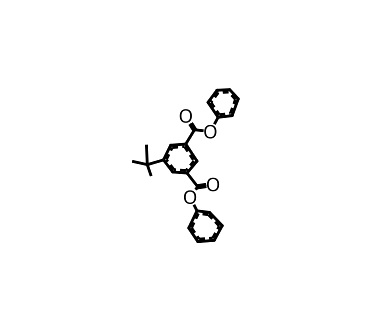 CC(C)(C)c1cc(C(=O)Oc2ccccc2)cc(C(=O)Oc2ccccc2)c1